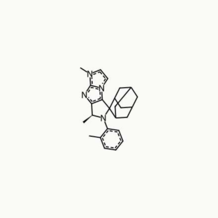 Cc1ccccc1N1[C@@H](C)c2nc3n(C)ccn3c2C12C1CC3CC(C1)CC2C3